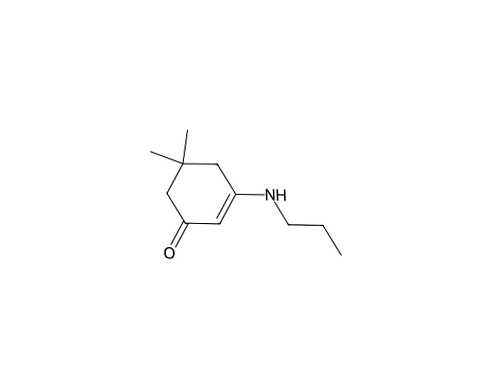 CCCNC1=CC(=O)CC(C)(C)C1